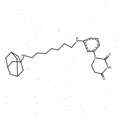 O=C1CCN(c2cccc(NCCCCCCCNC34CC5CC(CC(C5)C3)C4)c2)C(=O)N1